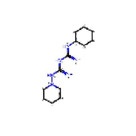 N=C(NC(=N)NN1CCCCC1)NC1CCCCC1